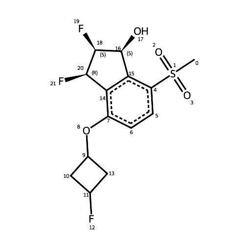 CS(=O)(=O)c1ccc(OC2CC(F)C2)c2c1[C@H](O)[C@H](F)[C@@H]2F